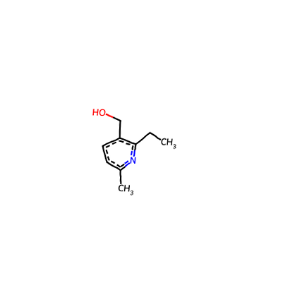 CCc1nc(C)ccc1CO